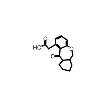 O=C(O)Cc1cccc2c1C(=O)C1CCCCC1CO2